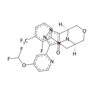 O=C(c1cccc(C(F)(F)F)c1F)N1[C@H]2COC[C@@H]1c1nnc(-c3cc(OC(F)F)ccn3)n1C2